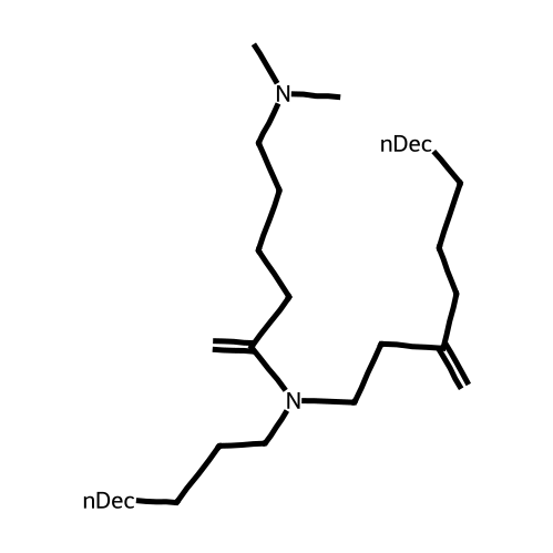 C=C(CCCCCCCCCCCCC)CCN(CCCCCCCCCCCCC)C(=C)CCCCN(C)C